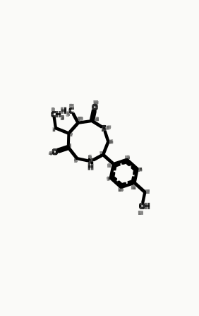 CCC1C(=O)CNC(c2ccc(CO)cc2)CSC(=O)C1C